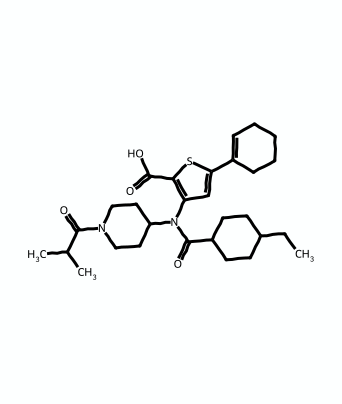 CCC1CCC(C(=O)N(c2cc(C3=CCCCC3)sc2C(=O)O)C2CCN(C(=O)C(C)C)CC2)CC1